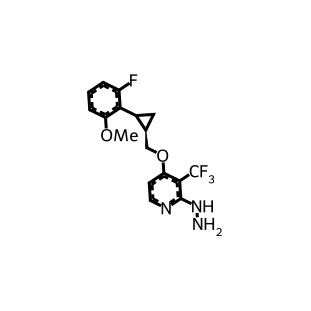 COc1cccc(F)c1C1C[C@H]1COc1ccnc(NN)c1C(F)(F)F